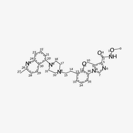 CONC(=O)c1ncn2c1COc1c(CCN3CCN(c4cccc5nc(C)ccc45)CC3)cccc1-2